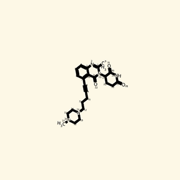 Cc1nc2cccc(C#CCCCN3CCN(C)CC3)c2c(=O)n1C1CCC(=O)NC1=O